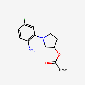 CNC(=O)OC1CCN(c2cc(F)ccc2N)C1